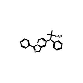 CC(C)(C(=O)O)C(C1=CCN2C(=C1)CN=C2c1ccccc1)c1ccccc1